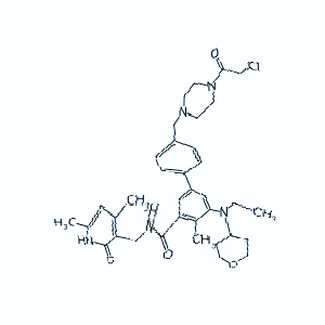 CCN(c1cc(-c2ccc(CN3CCN(C(=O)CCl)CC3)cc2)cc(C(=O)NCc2c(C)cc(C)[nH]c2=O)c1C)C1CCOCC1